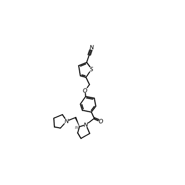 N#Cc1ccc(COc2ccc(C(=O)N3CCC[C@H]3CN3CCCC3)cc2)s1